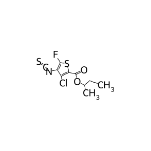 CCC(C)OC(=O)c1sc(F)c(N=C=S)c1Cl